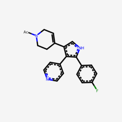 CC(=O)N1CC=C(c2c[nH]c(-c3ccc(F)cc3)c2-c2ccncc2)CC1